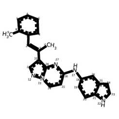 C/C(=C\c1ccccc1C)c1cnn2ccc(Nc3ccc4[nH]ccc4c3)nc12